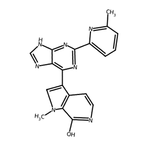 Cc1cccc(-c2nc(-c3cn(C)c4c(O)nccc34)c3nc[nH]c3n2)n1